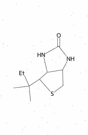 CCC(C)(C)C1SCC2NC(=O)NC21